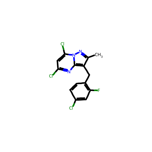 Cc1nn2c(Cl)cc(Cl)nc2c1Cc1ccc(Cl)cc1F